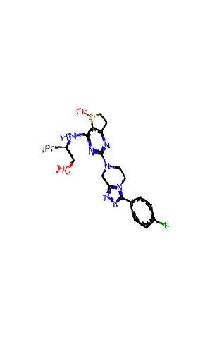 CC(C)[C@H](CO)Nc1nc(N2CCn3c(nnc3-c3ccc(F)cc3)C2)nc2c1[S+]([O-])CC2